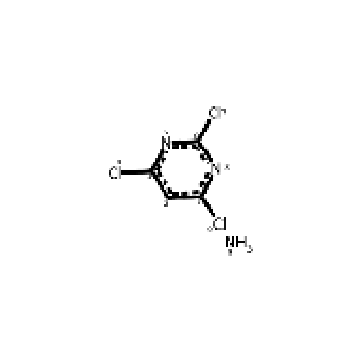 Clc1cc(Cl)nc(Cl)n1.N